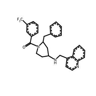 O=C(c1cccc(C(F)(F)F)c1)N1CCC(NCc2ccnc3ccccc23)CC1Cc1ccccc1